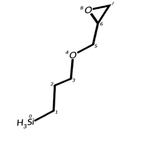 [SiH3]CCCOCC1CO1